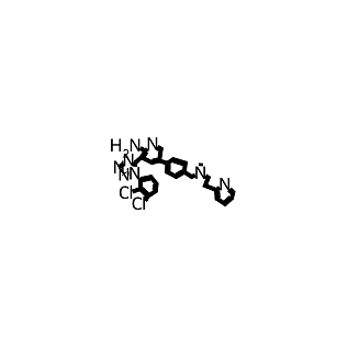 CN(CCc1ccccn1)Cc1ccc(-c2cnc(N)c(-c3nnnn3-c3cccc(Cl)c3Cl)c2)cc1